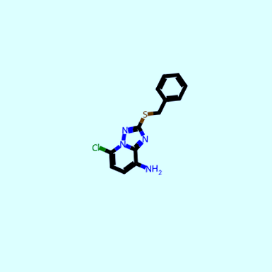 Nc1ccc(Cl)n2nc(SCc3ccccc3)nc12